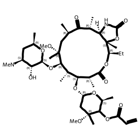 C=CC(=O)OC1[C@H](C)O[C@@H](O[C@H]2[C@H](C)[C@@H](O[C@@H]3O[C@H](C)C[C@H](NC)[C@H]3O)[C@](C)(OC)C[C@@H](C)C(=O)[C@H](C)[C@H]3NC(=O)O[C@]3(C)[C@@H](CC)OC(=O)[C@@H]2C)C[C@@]1(C)OC